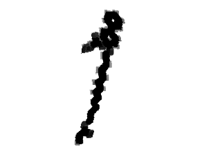 C=CC(=O)OCCCCCCCCCCCCOC1(OC(=O)C(C)CC)C=CC(c2ccccc2)=CC1